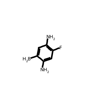 Bc1cc(N)c(F)cc1N